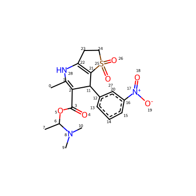 CC1=C(C(=O)OC(C)N(C)C)C(c2cccc([N+](=O)[O-])c2)C2=C(CCS2(=O)=O)N1